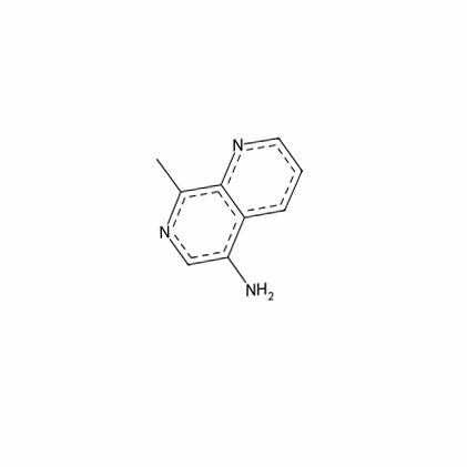 Cc1ncc(N)c2cccnc12